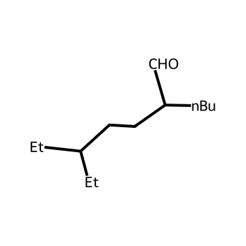 CCCCC(C=O)CCC(CC)CC